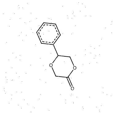 O=C1COC(c2ccccc2)CO1